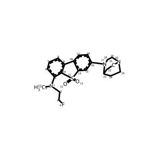 [11CH3]N(CCF)c1cccc2c1S(=O)(=O)c1cc(N3CCN4CCC3CC4)ccc1-2